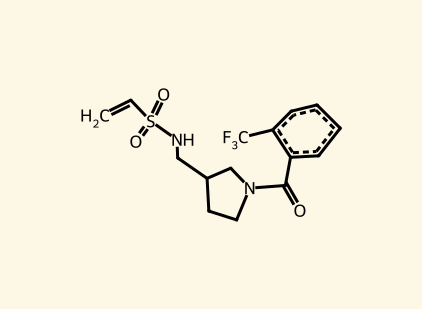 C=CS(=O)(=O)NCC1CCN(C(=O)c2ccccc2C(F)(F)F)C1